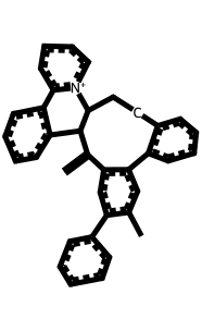 C=C1c2cc(-c3ccccc3)c(C)cc2-c2ccccc2CCC2C1c1ccccc1-c1cccc[n+]12